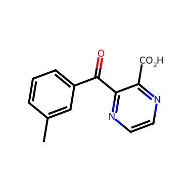 Cc1cccc(C(=O)c2nccnc2C(=O)O)c1